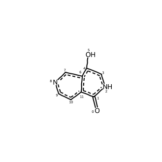 O=c1[nH]cc(O)c2cnccc12